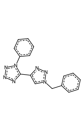 c1ccc(Cn2cc(-c3nnnn3-c3ccccc3)nn2)cc1